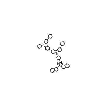 c1ccc(-c2ccc3c(c2)c2cc(-c4ccc5c(c4)c4cc(-c6ccccc6)ccc4n5-c4ccc(-c5nc(-c6ccc7ccccc7c6)c6ccc7ccccc7c6n5)cc4)ccc2n3-c2ccccc2)cc1